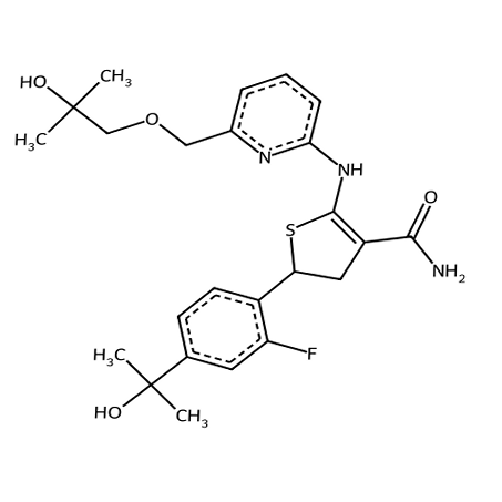 CC(C)(O)COCc1cccc(NC2=C(C(N)=O)CC(c3ccc(C(C)(C)O)cc3F)S2)n1